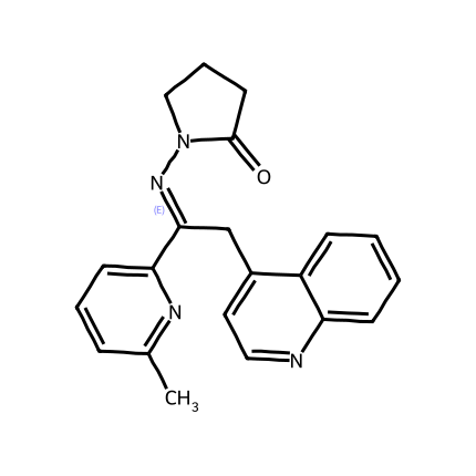 Cc1cccc(/C(Cc2ccnc3ccccc23)=N/N2CCCC2=O)n1